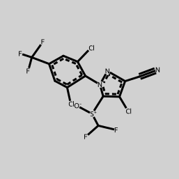 N#Cc1nn(-c2c(Cl)cc(C(F)(F)F)cc2Cl)c([S+]([O-])C(F)F)c1Cl